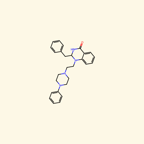 O=C1NC(Cc2ccccc2)N(CCN2CCN(c3ccccc3)CC2)c2ccccc21